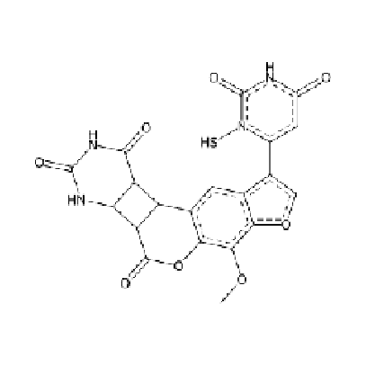 COc1c2c(cc3c(-c4cc(=O)[nH]c(=O)n4S)coc13)C1C3C(=O)NC(=O)NC3C1C(=O)O2